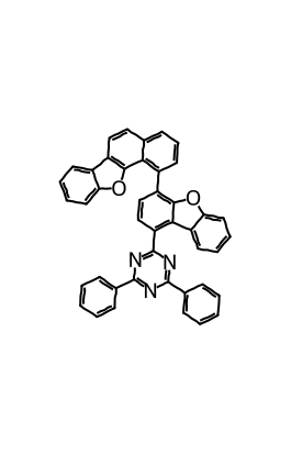 c1ccc(-c2nc(-c3ccccc3)nc(-c3ccc(-c4cccc5ccc6c7ccccc7oc6c45)c4oc5ccccc5c34)n2)cc1